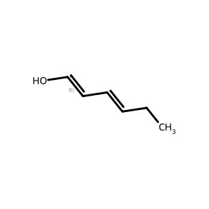 CCC=C/C=[C]/O